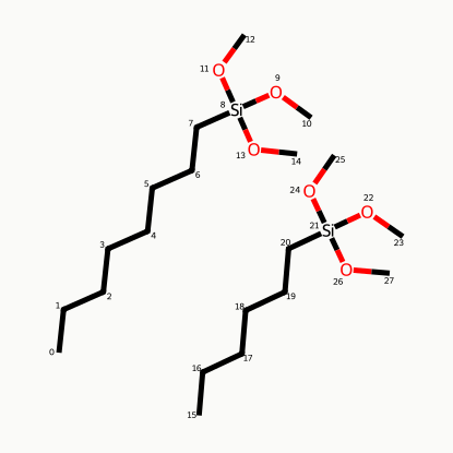 CCCCCCCC[Si](OC)(OC)OC.CCCCCC[Si](OC)(OC)OC